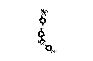 O=S(=O)(F)Oc1ccc(OCc2ccc(-c3cn(-c4ccc(O)cc4)nn3)cc2)cc1